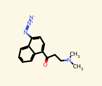 CN(C)CCC(=O)c1ccc(N=[N+]=[N-])c2ccccc12